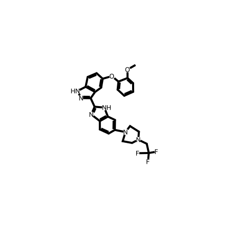 COc1ccccc1Oc1ccc2[nH]nc(-c3nc4ccc(N5CCN(CC(F)(F)F)CC5)cc4[nH]3)c2c1